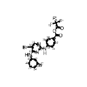 O=C(OC(=O)C(F)(F)F)c1ccc(Nc2ncc(Br)c(Nc3cccc(F)c3)n2)cc1